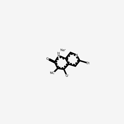 CCc1cc2c([O-])c(C#N)c(=O)[nH]c2cn1.[Na+]